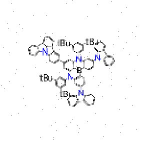 CC(C)(C)c1cc(N2c3cc(-n4c5ccccc5c5ccccc54)ccc3B3c4ccc(-n5c6ccccc6c6ccccc65)cc4N(c4cc(C(C)(C)C)cc(C(C)(C)C)c4)c4cc(-c5ccc6c(c5)c5cccc7c8ccccc8n6c75)cc2c43)cc(C(C)(C)C)c1